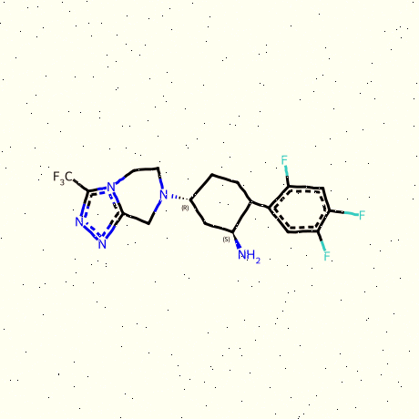 N[C@H]1C[C@H](N2CCn3c(nnc3C(F)(F)F)C2)CCC1c1cc(F)c(F)cc1F